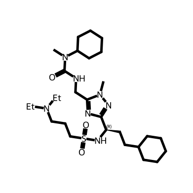 CCN(CC)CCCS(=O)(=O)N[C@H](CCC1CCCCC1)c1nc(CNC(=O)N(C)C2CCCCC2)n(C)n1